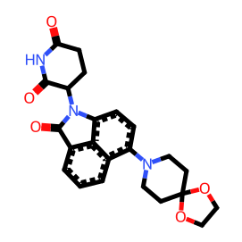 O=C1CCC(N2C(=O)c3cccc4c(N5CCC6(CC5)OCCO6)ccc2c34)C(=O)N1